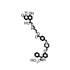 O=C(O)NC(c1ccccc1)c1cccc(OCC2CCN(Cc3ccc(C(=O)OCCCCNC[C@H](O)c4ccc(O)c5[nH]c(=O)ccc45)cc3)CC2)c1